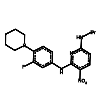 CC(C)Nc1ccc([N+](=O)[O-])c(Nc2ccc(N3CCCCC3)c(F)c2)n1